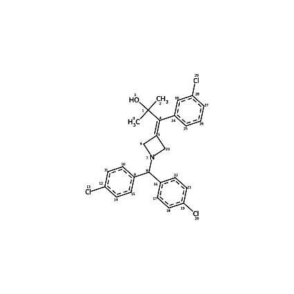 CC(C)(O)C(=C1CN(C(c2ccc(Cl)cc2)c2ccc(Cl)cc2)C1)c1cccc(Cl)c1